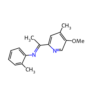 COc1cnc(/C(C)=N/c2ccccc2C)cc1C